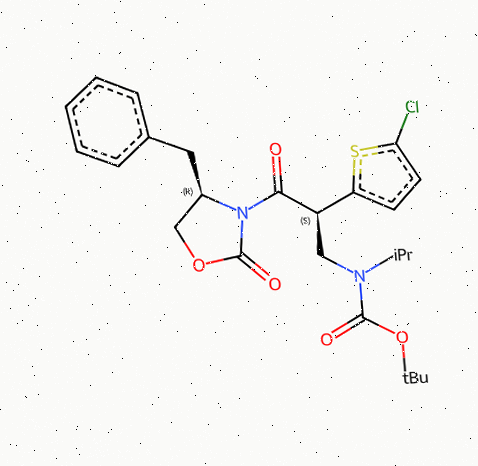 CC(C)N(C[C@@H](C(=O)N1C(=O)OC[C@H]1Cc1ccccc1)c1ccc(Cl)s1)C(=O)OC(C)(C)C